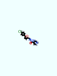 O=C(N/N=C/c1ccc(-c2ccc(Cl)cc2)o1)c1ccncc1